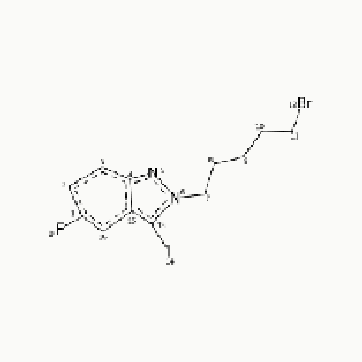 Fc1ccc2nn(CCCCCBr)c(I)c2c1